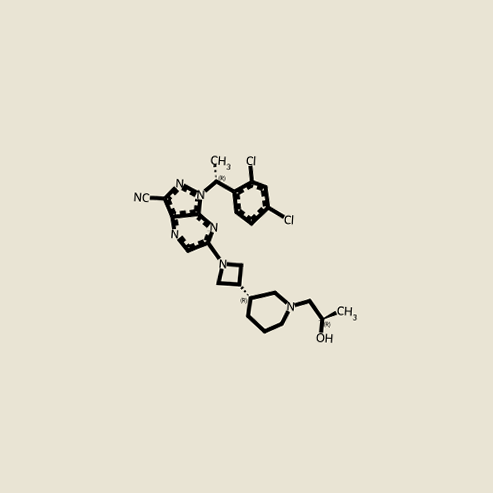 C[C@H](c1ccc(Cl)cc1Cl)n1nc(C#N)c2ncc(N3CC([C@H]4CCCN(C[C@@H](C)O)C4)C3)nc21